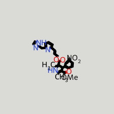 COC(=O)C1=C(C)NC(C)=C(C(=O)OCC=Cc2cccc(Cc3ncc[nH]3)n2)C1c1cccc([N+](=O)[O-])c1